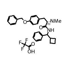 CN[C@@H](Cc1ccc(OCc2ccccc2)cc1)C(=O)NC(c1ccccc1)C1CCC1.O=C(O)C(F)(F)F